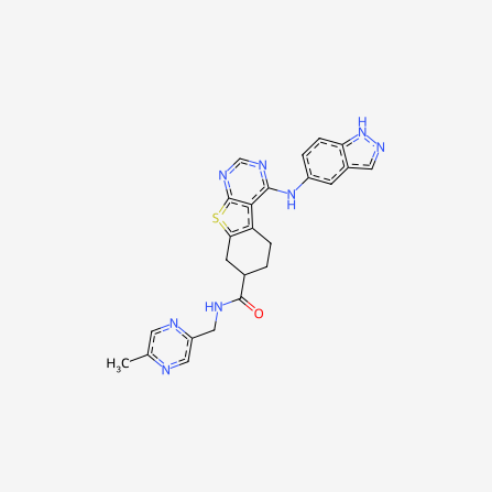 Cc1cnc(CNC(=O)C2CCc3c(sc4ncnc(Nc5ccc6[nH]ncc6c5)c34)C2)cn1